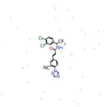 N#Cc1cc(/C=C/C(=O)NC(c2ccc(Cl)c(Cl)c2)C(F)(F)F)ccc1-n1cncn1